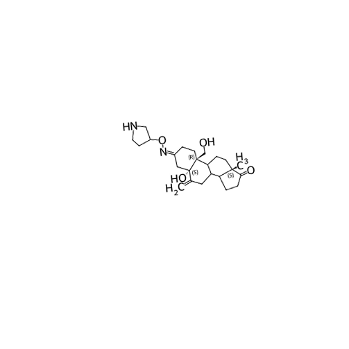 C=C1CC2C(CC[C@]3(C)C(=O)CCC23)[C@@]2(CO)CCC(=NOC3CCNC3)C[C@]12O